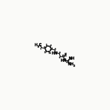 CCc1ccc(CNCCC(F)NC(=N)N)cc1